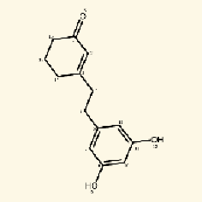 O=C1C=C(CCc2cc(O)cc(O)c2)CCC1